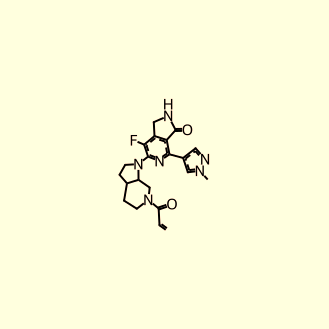 C=CC(=O)N1CCC2CCN(c3nc(-c4cnn(C)c4)c4c(c3F)CNC4=O)C2C1